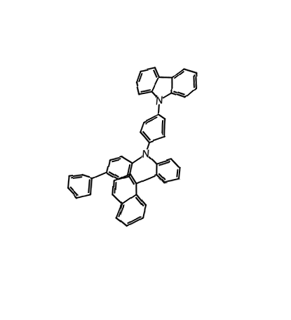 c1ccc(-c2ccc(N(c3ccc(-n4c5ccccc5c5ccccc54)cc3)c3ccccc3-c3cccc4ccccc34)cc2)cc1